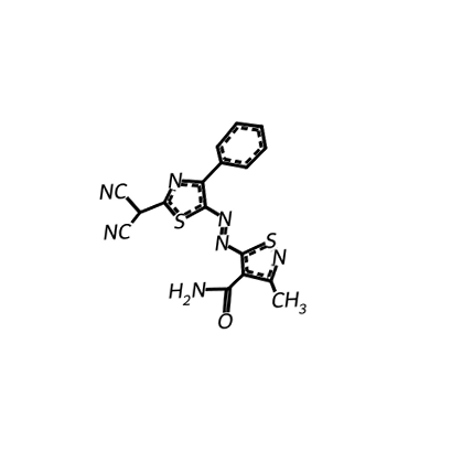 Cc1nsc(/N=N/c2sc(C(C#N)C#N)nc2-c2ccccc2)c1C(N)=O